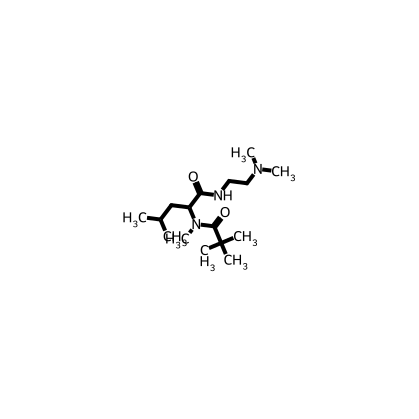 CC(C)CC(C(=O)NCCN(C)C)N(C)C(=O)C(C)(C)C